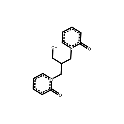 O=c1ccccn1CC(CO)Cn1ccccc1=O